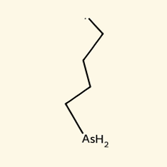 [CH2]CCCC[AsH2]